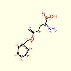 C=C(CCC(N)C(=O)O)OCc1ccccc1